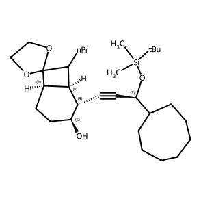 CCCC1[C@H]2[C@H](C#C[C@@H](O[Si](C)(C)C(C)(C)C)C3CCCCCCC3)[C@@H](O)CC[C@H]2C12OCCO2